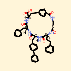 O=C1CCNC(=O)c2ccc(cc2)C[C@@H](C(=O)O)NC(=O)[C@@H](Cc2ccccc2)NC(=O)[C@H](Cc2ccc(-c3ccccc3)cc2)NC(=O)[C@@H](CCc2ccccc2)N1